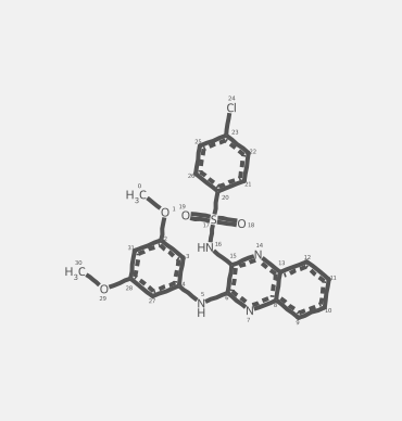 COc1cc(Nc2nc3ccccc3nc2NS(=O)(=O)c2ccc(Cl)cc2)cc(OC)c1